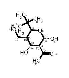 CC(C)(C)C1O[C@H](O)[C@@H](C(=O)O)[C@H](O)[C@H]1CO